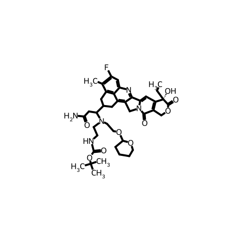 CC[C@@]1(O)C(=O)OCc2c1cc1n(c2=O)Cc2c-1nc1cc(F)c(C)c3c1c2CC(C(CC(N)=O)N(CCNC(=O)OC(C)(C)C)CCOC1CCCCO1)C3